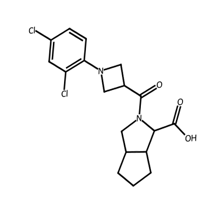 O=C(O)C1C2CCCC2CN1C(=O)C1CN(c2ccc(Cl)cc2Cl)C1